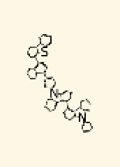 C1=CC2=C(c3cccc4c3sc3ccccc34)C=CC(c3ccc(-n4c5ccccc5c5c(-c6cccc7c6c6ccccc6n7-c6ccccc6)cccc54)cc3)C2C=C1